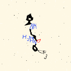 N[C@@H](CCCCNC1CC1c1ccccc1)C(=O)NCc1cccc(C(F)(F)F)c1